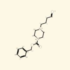 O=[C]CCCN1CCN(C(=O)OCc2ccccc2)CC1